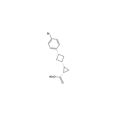 COC(=O)[C@H]1CC1[C@H]1C[C@@H](c2ccc(Br)cc2)C1